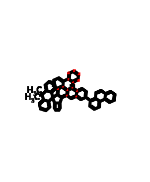 CC1(C)c2ccccc2C2(c3ccccc3-c3cc(N(c4ccc(-c5cccc6c5ccc5ccccc56)cc4)c4ccccc4-c4ccccc4-c4ccccc4-c4ccccc4)ccc32)c2ccccc21